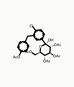 CC(=O)OC[C@H]1O[C@@](O)(c2ccc(Cl)c(Cc3ccc(OC(C)=O)cc3)c2)[C@H](OC(C)=O)[C@@H](OC(C)=O)[C@@H]1OC(C)=O